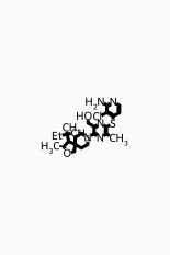 CCC(C)(C)C1[C@H](C)OCC12CCN(c1nc(C)c(Sc3ccnc(N)c3Cl)nc1CO)CC2